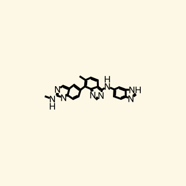 CNc1ncc2cc(-c3c(C)ccc4c(Nc5ccc6nc[nH]c6c5)ncnc34)ccc2n1